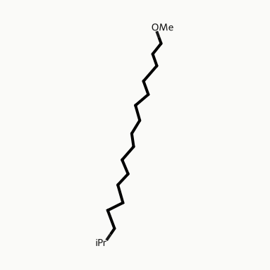 [CH2]OCCCCCCCCCCCCCCCC(C)C